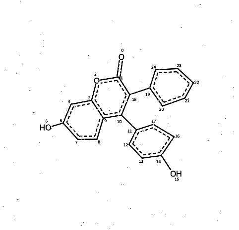 O=c1oc2cc(O)ccc2c(-c2ccc(O)cc2)c1-c1ccccc1